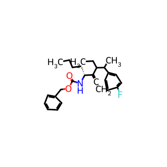 C=C=C(C(CC)C(C)c1ccc(F)cc1)[C@@H](CCCC)NC(=O)OCc1ccccc1